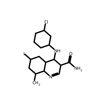 CC1CC(I)CC2C1N=CC(C(N)=O)C2NC1CCCC(Cl)C1